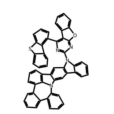 c1ccc2c(c1)-c1ccccc1-n1c3cc4c5ccccc5n(-c5nc(-c6cccc7sc8ccccc8c67)c6c(n5)oc5ccccc56)c4cc3c3cccc-2c31